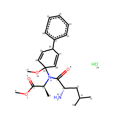 COC(=O)[C@H](C)N(C(=O)[C@@H](N)CC(C)C)C1(OC)C=CC(c2ccccc2)C=C1.Cl